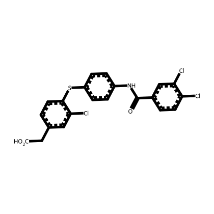 O=C(O)Cc1ccc(Sc2ccc(NC(=O)c3ccc(Cl)c(Cl)c3)cc2)c(Cl)c1